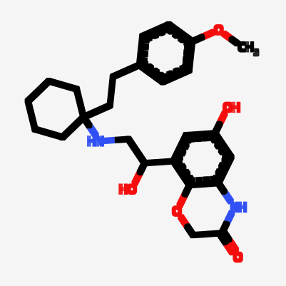 COc1ccc(CCC2(NCC(O)c3cc(O)cc4c3OCC(=O)N4)CCCCC2)cc1